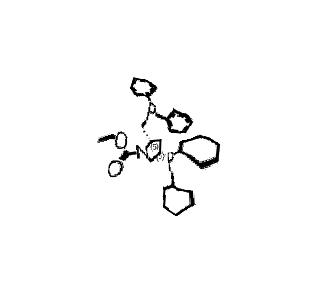 COC(=O)N1C[C@@H](P(C2CCCCC2)C2CCCCC2)C[C@H]1CP(c1ccccc1)c1ccccc1